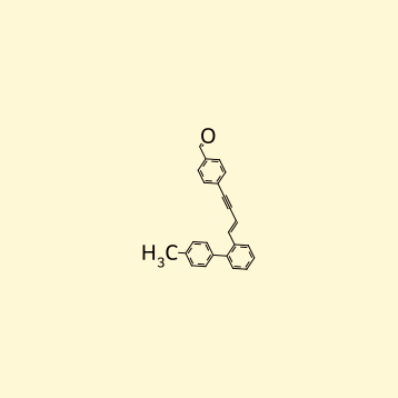 Cc1ccc(-c2ccccc2/C=C/C#Cc2ccc(C=O)cc2)cc1